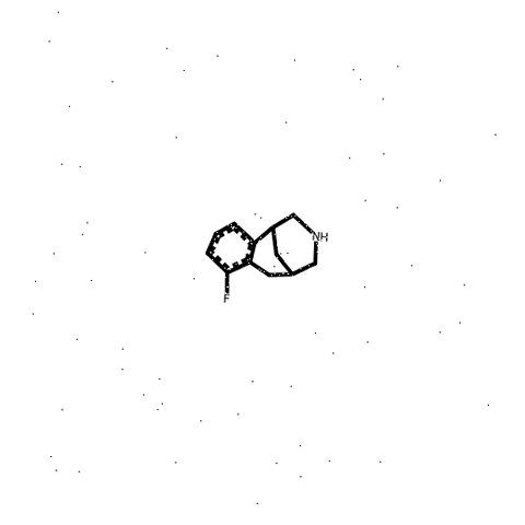 Fc1cccc2c1CC1CNCC2C1